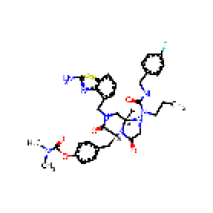 CCCN(C(=O)NCc1ccc(F)cc1)N1CC(=O)N2[C@@H](Cc3ccc(OC(=O)N(C)C)cc3)C(=O)N(Cc3cccc4sc(N)nc34)C[C@@H]21